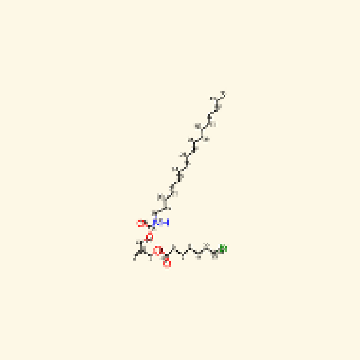 C=C(COC(=O)CCCCCCBr)COC(=O)NCCCCCCCCCCCCCCCCCC